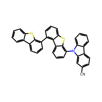 N#Cc1ccc2c3ccccc3n(-c3cccc4c3sc3cccc(-c5cccc6c5sc5ccccc56)c34)c2c1